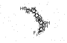 O=S(=O)(c1ccc(-c2ccnc(N3CC[C@H](O)C3)c2)cc1)N1CC[C@@H](Nc2ccc(C(F)(F)F)cn2)[C@@H](O)C1